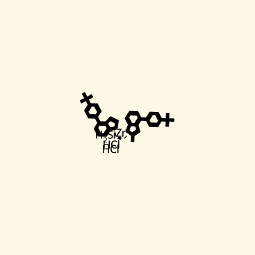 CC1=Cc2c(-c3ccc(C(C)(C)C)cc3)cccc2[CH]1[Zr]([CH3])([CH3])(=[SiH2])[CH]1C=Cc2c(-c3ccc(C(C)(C)C)cc3)cccc21.Cl.Cl